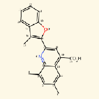 Cc1cc(C)c2nc(-c3oc4ccccc4c3C)cc(C(=O)O)c2c1